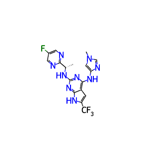 C[C@H](Nc1nc(Nc2cn(C)cn2)c2cc(C(F)(F)F)[nH]c2n1)c1ncc(F)cn1